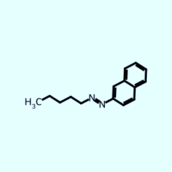 CCCCCN=Nc1ccc2ccccc2c1